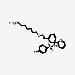 O=C(O)CCCCCCCON=CC1=CC=CC(NS(=O)(=O)c2ccc(Cl)cc2)(c2ccccn2)C1